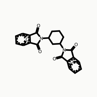 O=C1c2c(c3ccc2o3)C(=O)N1C1CCCC(N2C(=O)c3c(c4ccc3o4)C2=O)C1